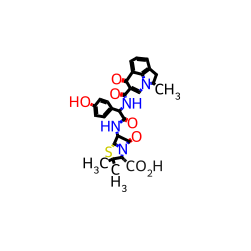 CC1Cc2cccc3c(=O)c(C(=O)NC(C(=O)NC4C(=O)N5C4SC(C)(C)C5C(=O)O)c4ccc(O)cc4)cn1c23